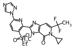 CCS(=O)(=O)c1ccc(-n2cncn2)nc1-c1nc2cc(C(C)(F)F)n(C3CC3)c(=O)c2n1C